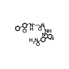 CN(CCNc1nc2cc(C(N)=O)ccc2c2cnccc12)C(=O)CCCNCc1ccc(-c2ccccc2)c(Cl)c1